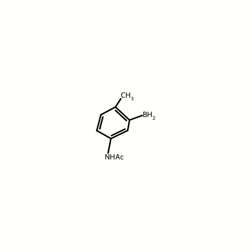 Bc1cc(NC(C)=O)ccc1C